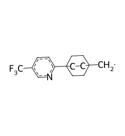 [CH2]C12CCC(c3ccc(C(F)(F)F)cn3)(CC1)CC2